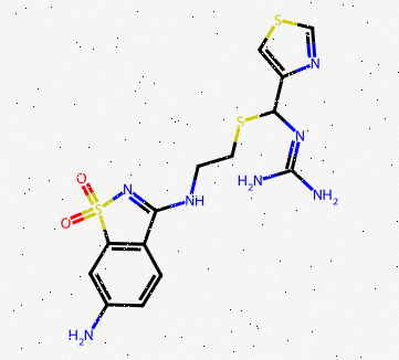 NC(N)=NC(SCCNC1=NS(=O)(=O)c2cc(N)ccc21)c1cscn1